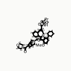 COc1ccc(C2CCCCC2)c2c1cc1n2CC2=C(C(=O)NS(=O)(=O)C(C)C)C2=C2C=CC[C@@H](C(=O)N3CC45CCC4(C3)CN(C(=O)N3CCOCC3)C5)[C@@H]21